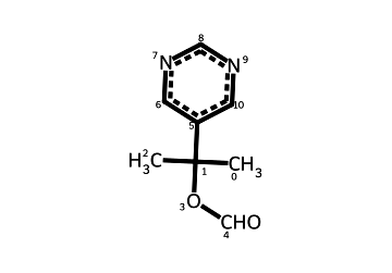 CC(C)(OC=O)c1cncnc1